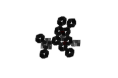 N#Cc1ccc2c(c1)c1cc(-c3ccccc3)ccc1n2-c1c(-c2ccc(-c3ccccc3)cc2)cc(-c2nc(-c3ccccc3)nc(-c3ccccc3)n2)cc1C1C=CC(c2ccccc2)=CC1